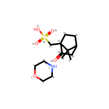 C1COCCN1.CC1(C)C2CCC1(CS(=O)(=O)O)C(=O)C2